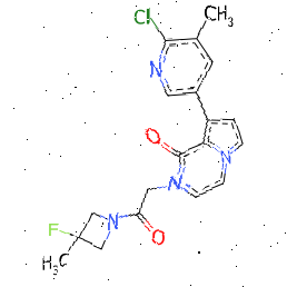 Cc1cc(-c2ccn3ccn(CC(=O)N4CC(C)(F)C4)c(=O)c23)cnc1Cl